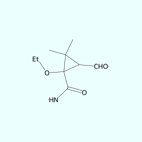 CCOC1(C([NH])=O)C([C]=O)C1(C)C